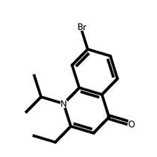 CCc1cc(=O)c2ccc(Br)cc2n1C(C)C